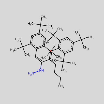 CCCCC(=Cc1c(C(C)(C)C)cc(C(C)(C)C)cc1C(C)(C)C)C(=Cc1c(C(C)(C)C)cc(C(C)(C)C)cc1C(C)(C)C)NN